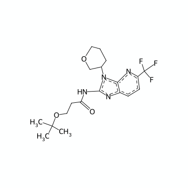 CC(C)(C)OCCC(=O)Nc1nc2ccc(C(F)(F)F)nc2n1C1CCCOC1